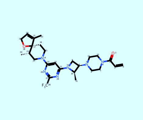 C=CC(=O)N1CCN([C@@H]2CN(c3cc(N4CC[C@@]5(OCC=C5C)[C@@H](C)C4)nc(C(F)(F)F)n3)[C@@H]2C)CC1